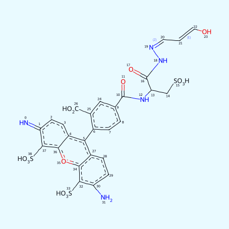 N=c1ccc2c(-c3ccc(C(=O)NC(CS(=O)(=O)O)C(=O)N/N=C\C=C\O)cc3C(=O)O)c3ccc(N)c(S(=O)(=O)O)c3oc-2c1S(=O)(=O)O